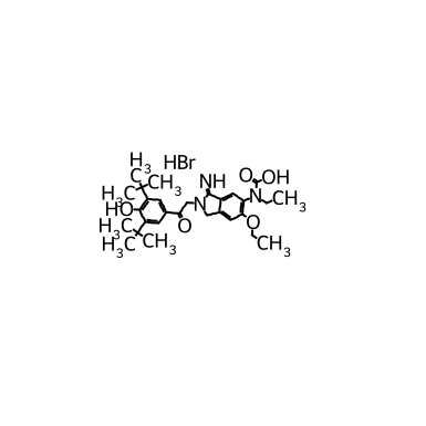 Br.CCOc1cc2c(cc1N(CC)C(=O)O)C(=N)N(CC(=O)c1cc(C(C)(C)C)c(O)c(C(C)(C)C)c1)C2